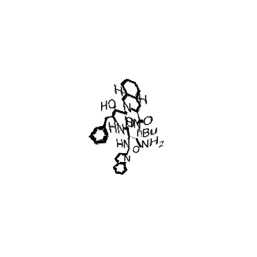 CCCCNC(=O)[C@@H]1C[C@@H]2CCCC[C@@H]2CN1C[C@@H](O)[C@H](Cc1ccccc1)NC(=O)[C@H](CC(N)=O)NCc1ccc2ccccc2n1